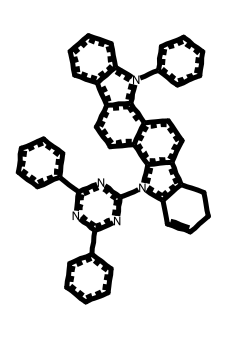 C1=Cc2c(c3ccc4c(ccc5c6ccccc6n(-c6ccccc6)c45)c3n2-c2nc(-c3ccccc3)nc(-c3ccccc3)n2)CC1